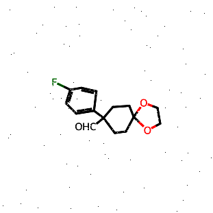 O=CC1(c2ccc(F)cc2)CCC2(CC1)OCCO2